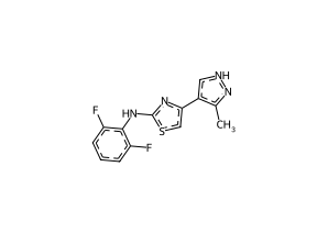 Cc1n[nH]cc1-c1csc(Nc2c(F)cccc2F)n1